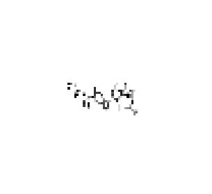 Cc1nc2ncc(-c3ccn4nc(NCC5(F)CCC5)ncc34)cc2n1CC(F)F